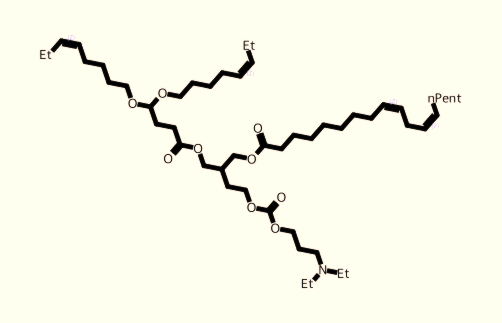 CC/C=C\CCCCOC(CCC(=O)OCC(CCOC(=O)OCCCN(CC)CC)COC(=O)CCCCCCC/C=C\C/C=C\CCCCC)OCCCC/C=C\CC